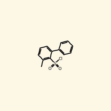 Cc1cccc(-c2ccccc2)c1S(=O)(=O)Cl